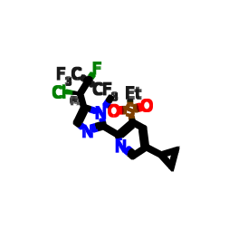 CCS(=O)(=O)c1cc(C2CC2)cnc1-c1ncc([C@@H](Cl)C(F)(C(F)(F)F)C(F)(F)F)n1C